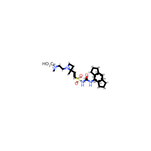 CN(CCN1CCC1(C)C=CS(=O)(=O)NC(=O)Nc1c2c(cc3c1CCC3)CCC2)C(=O)O